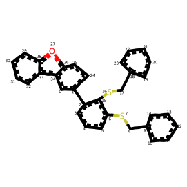 [c]1c(-c2cccc(SCc3ccccc3)c2SCc2ccccc2)ccc2oc3ccccc3c12